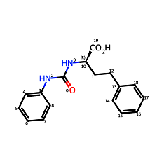 O=C(Nc1ccccc1)N[C@H](CCc1ccccc1)C(=O)O